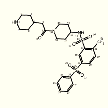 O=C(CC1CCNCC1)N1CCC(NS(=O)(=O)c2cc(S(=O)(=O)c3ccccc3)ccc2C(F)(F)F)CC1